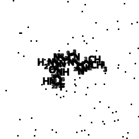 CC1(C)Cc2c(-c3nccc(-c4cnc(N)c(C(=O)NC5CNCC(F)C5)n4)n3)cnn2C1